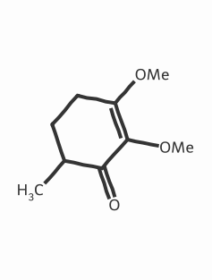 COC1=C(OC)C(=O)C(C)CC1